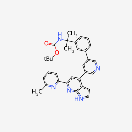 Cc1cccc(-c2cc(-c3cncc(-c4cccc(C(C)(C)NC(=O)OC(C)(C)C)c4)c3)c3cc[nH]c3n2)n1